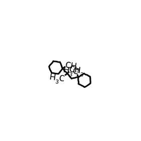 CC1(CC(C)(C)C2(C)CCCCC2)CCCCC1